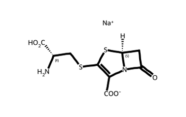 N[C@@H](CSC1=C(C(=O)[O-])N2C(=O)C[C@@H]2S1)C(=O)O.[Na+]